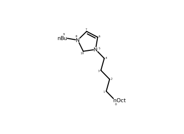 CCCCCCCCCCCCN1C=CN(CCCC)C1